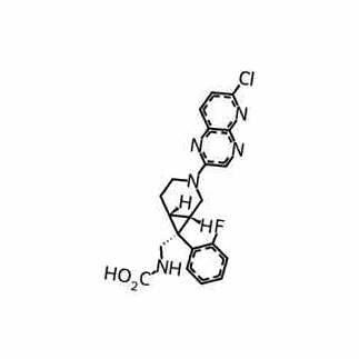 O=C(O)NC[C@]1(c2ccccc2F)[C@@H]2CCN(c3cnc4nc(Cl)ccc4n3)C[C@@H]21